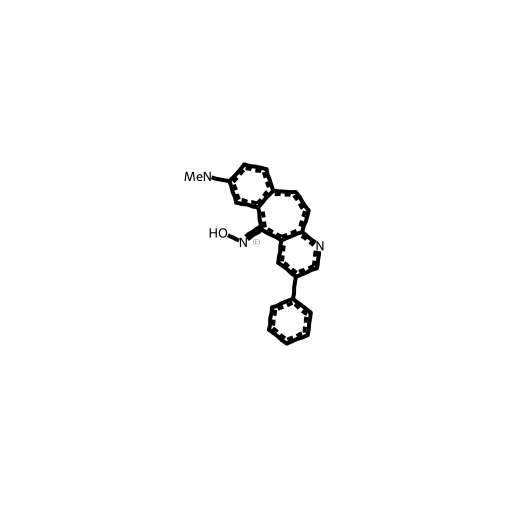 CNc1ccc2ccc3ncc(-c4ccccc4)cc3/c(=N/O)c2c1